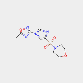 Cc1nc(-n2cnc(S(=O)(=O)N3CCOCC3)c2)no1